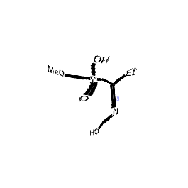 CC/C(=N/O)P(=O)(O)OC